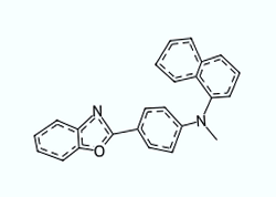 CN(c1ccc(-c2nc3ccccc3o2)cc1)c1cccc2ccccc12